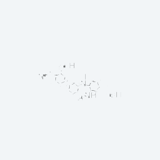 COc1cc(-c2ccc3c(c2)Nc2ccc(CCO)cc2NC3=O)ccc1CC#N